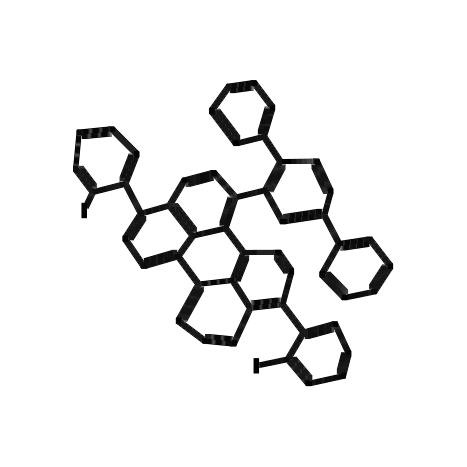 Ic1ccccc1-c1ccc2c3c(-c4cc(-c5ccccc5)ccc4-c4ccccc4)ccc4c(-c5ccccc5I)ccc(c5cccc1c52)c43